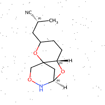 C[C@@H](C#N)CC1CC[C@@H]2O[C@@H]3CC2(CON3)O1